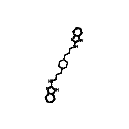 c1ccc2[nH]c(NCCCN3CCN(CCCNc4nc5ccccc5[nH]4)CC3)nc2c1